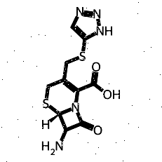 NC1C(=O)N2C(C(=O)O)=C(CSc3cnn[nH]3)CS[C@@H]12